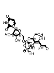 O=C[C@H](F)[C@@H](O)[C@@H](O)[C@@H](CO)OP(=O)(OC[C@H]1O[C@@H](n2ccc(=O)[nH]c2=O)[C@H](O)[C@@H]1O)OP(=O)(O)O